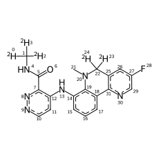 [2H]C([2H])([2H])NC(=O)c1nnccc1Nc1cccc2c1N(C)C([2H])([2H])c1cc(F)cnc1-2